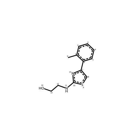 Cc1ccccc1-c1csc(NCCO)n1